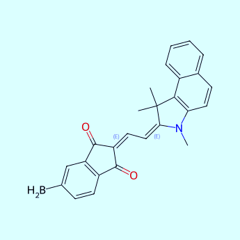 Bc1ccc2c(c1)C(=O)/C(=C/C=C1/N(C)c3ccc4ccccc4c3C1(C)C)C2=O